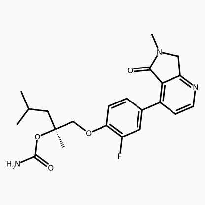 CC(C)C[C@@](C)(COc1ccc(-c2ccnc3c2C(=O)N(C)C3)cc1F)OC(N)=O